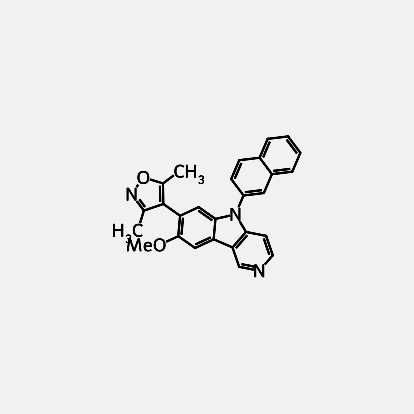 COc1cc2c3cnccc3n(-c3ccc4ccccc4c3)c2cc1-c1c(C)noc1C